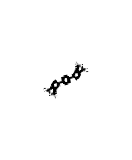 O=C1OC(=O)C2C3CC(CC3c3ccc(C4CC5CC4C4C(=O)OC(=O)C54)cc3)C12